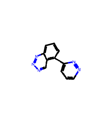 [c]1nnnc2cccc(-c3cccnn3)c12